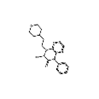 CCC1C(=O)N(c2cccnc2)c2nccnc2N1CCC1CCOCC1